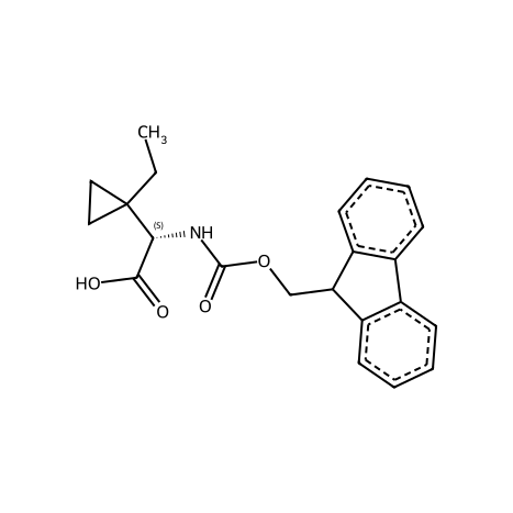 CCC1([C@H](NC(=O)OCC2c3ccccc3-c3ccccc32)C(=O)O)CC1